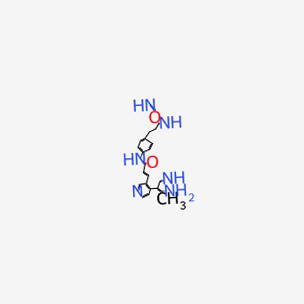 C/C(N)=C(/C=N)c1ccncc1/C=C/C(=O)Nc1ccc(CCC(=N)OC=N)cc1